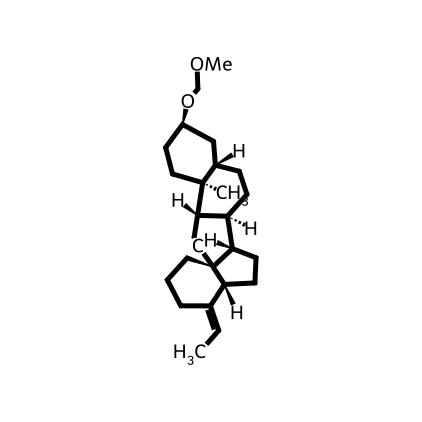 CC=C1CCC[C@@]23CC[C@H]4[C@@H](CC[C@H]5C[C@H](OCOC)CC[C@@]54C)[C@@H]2CC[C@H]13